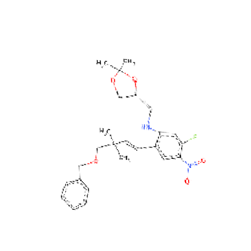 CC(C)(C=Cc1cc([N+](=O)[O-])c(F)cc1NC[C@@H]1COC(C)(C)O1)COCc1ccccc1